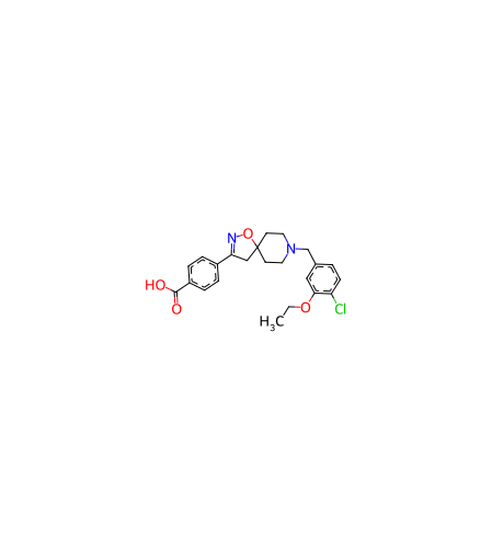 CCOc1cc(CN2CCC3(CC2)CC(c2ccc(C(=O)O)cc2)=NO3)ccc1Cl